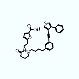 O=C(O)c1ccc(CCN2C(=O)SCCN2CCCCc2cccc(C#Cc3cscc3-c3ccccc3)c2)s1